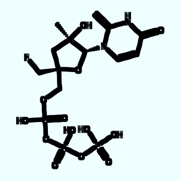 C=C1NC(=O)C=CN1[C@@H]1O[C@](CF)(COP(=O)(O)OP(=O)(O)OP(=O)(O)O)C[C@@]1(C)O